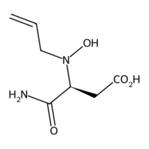 C=CCN(O)[C@@H](CC(=O)O)C(N)=O